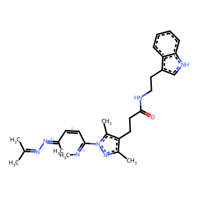 C\N=C(/C=C\C(C)=N\N=C(C)C)n1nc(C)c(CCC(=O)NCCc2c[nH]c3ccccc23)c1C